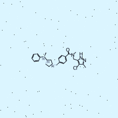 Cc1n[nH]c(CN(C)C(=O)c2ccc(C[C@@H]3CC[C@H]([C@H](C)c4ccccc4)C3)cc2)c1Cl